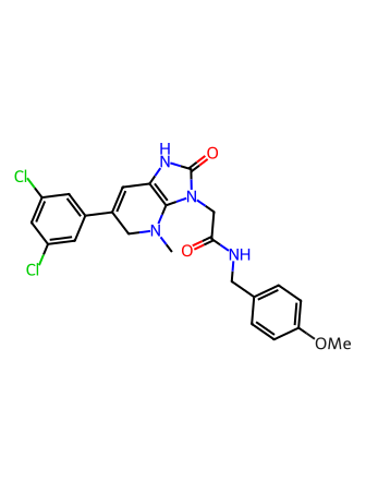 COc1ccc(CNC(=O)Cn2c3c([nH]c2=O)C=C(c2cc(Cl)cc(Cl)c2)CN3C)cc1